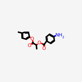 Cc1ccc(OC(=O)C(C)OC(=O)c2ccc(N)cc2)cc1